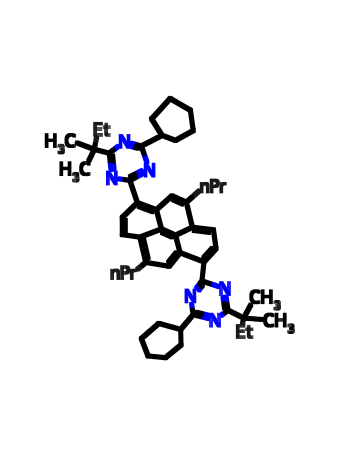 CCCc1cc2c(-c3nc(C4CCCCC4)nc(C(C)(C)CC)n3)ccc3c(CCC)cc4c(-c5nc(C6CCCCC6)nc(C(C)(C)CC)n5)ccc1c4c32